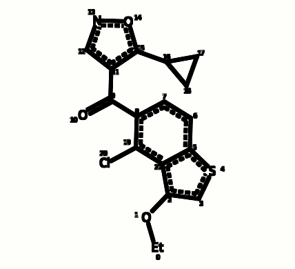 CCOc1csc2ccc(C(=O)c3cnoc3C3CC3)c(Cl)c12